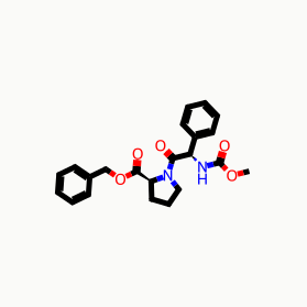 COC(=O)N[C@H](C(=O)N1CCC[C@H]1C(=O)OCc1ccccc1)c1ccccc1